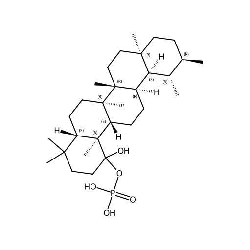 C[C@@H]1[C@H]2[C@H]3CC[C@@H]4[C@]5(C)[C@@H](CC[C@@]4(C)[C@]3(C)CC[C@@]2(C)CC[C@H]1C)C(C)(C)CCC5(O)OP(=O)(O)O